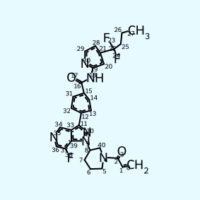 C=CC(=O)N1CCCC(n2nc(-c3ccc(C(=O)Nc4cc(C(F)(F)CCC)ccn4)cc3)c3cncc(F)c32)C1